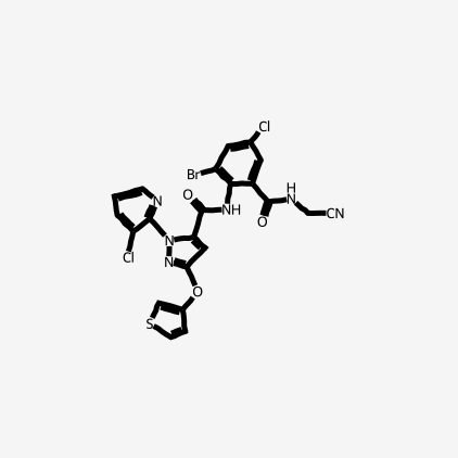 N#CCNC(=O)c1cc(Cl)cc(Br)c1NC(=O)c1cc(Oc2ccsc2)nn1-c1ncccc1Cl